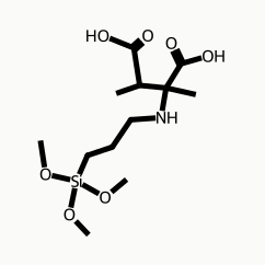 CO[Si](CCCNC(C)(C(=O)O)C(C)C(=O)O)(OC)OC